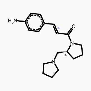 Nc1ccc(/C=C/C(=O)N2CCC[C@H]2CN2CCCC2)cc1